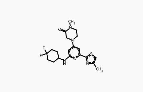 Cc1csc(-c2cc(N3CCN(C)C(=O)C3)cc(NC3CCC(F)(F)CC3)n2)n1